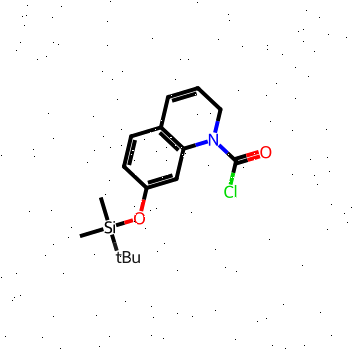 CC(C)(C)[Si](C)(C)Oc1ccc2c(c1)N(C(=O)Cl)CC=C2